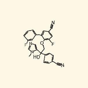 Cn1cncc1C(O)(COc1c(F)cc(C#N)cc1-c1cccc(F)c1)c1ccc(C#N)cc1